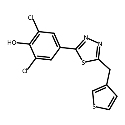 Oc1c(Cl)cc(-c2nnc(Cc3ccsc3)s2)cc1Cl